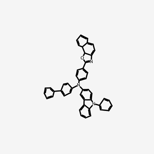 C1=CC2=CC=C3N=C(c4ccc(N(c5ccc(-c6ccccc6)cc5)c5ccc6c(c5)c5ccccc5n6-c5ccccc5)cc4)OC3C2C=C1